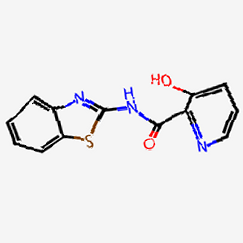 O=C(Nc1nc2ccccc2s1)c1ncccc1O